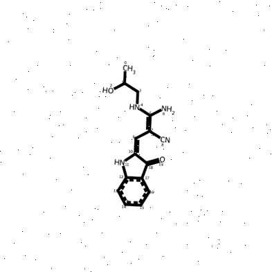 CC(O)CN/C(N)=C(C#N)\C=C1\Nc2ccccc2C1=O